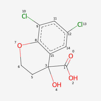 O=C(O)C1(O)CCOc2c(Cl)cc(Cl)cc21